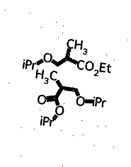 CC(C)OCC(C)C(=O)OC(C)C.CCOC(=O)C(C)COC(C)C